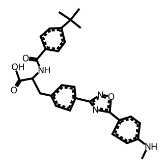 CNc1ccc(-c2nc(-c3ccc(CC(NC(=O)c4ccc(C(C)(C)C)cc4)C(=O)O)cc3)no2)cc1